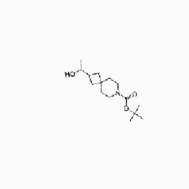 CC(O)C1CC2(CCN(C(=O)OC(C)(C)C)CC2)C1